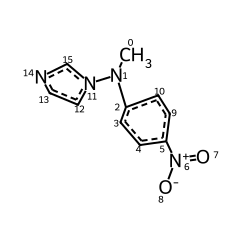 CN(c1ccc([N+](=O)[O-])cc1)n1ccnc1